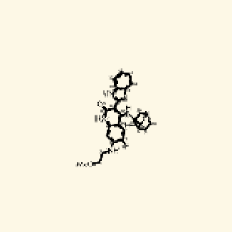 COCCNc1cc2[nH]c(=O)c(-c3nc4ccccc4[nH]3)c(N[C@@H]3CN4CCC3CC4)c2cc1F